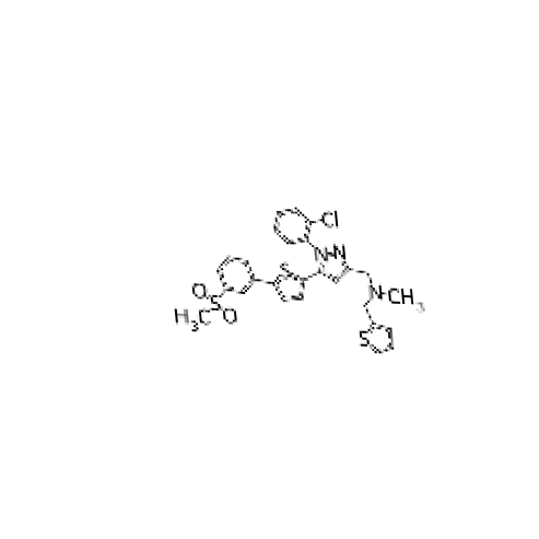 CN(Cc1cc(-c2ccc(-c3cccc(S(C)(=O)=O)c3)s2)n(-c2ccccc2Cl)n1)Cc1cccs1